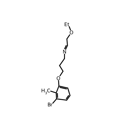 CCOC/C=N/CCCOc1cccc(Br)c1C